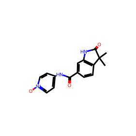 CC1(C)C(=O)Nc2cc(C(=O)Nc3cc[n+]([O-])cc3)ccc21